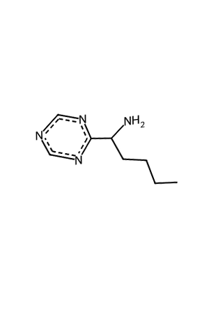 CCCCC(N)c1ncncn1